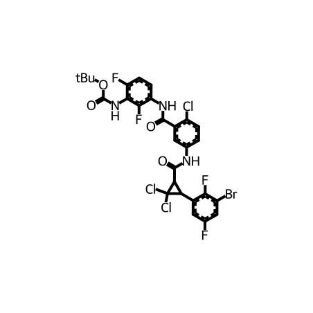 CC(C)(C)OC(=O)Nc1c(F)ccc(NC(=O)c2cc(NC(=O)C3C(c4cc(F)cc(Br)c4F)C3(Cl)Cl)ccc2Cl)c1F